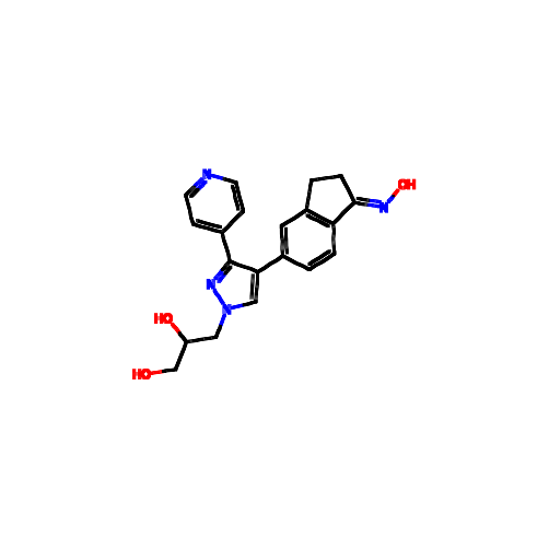 OCC(O)Cn1cc(-c2ccc3c(c2)CC/C3=N\O)c(-c2ccncc2)n1